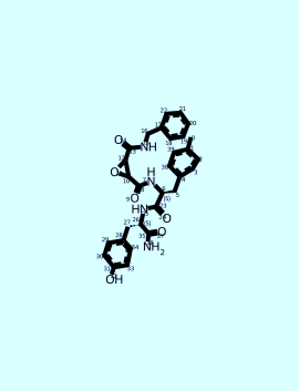 Cc1ccc(C[C@H](NC(=O)C2OC2C(=O)NCc2ccccc2)C(=O)N[C@@H](Cc2ccc(O)cc2)C(N)=O)cc1